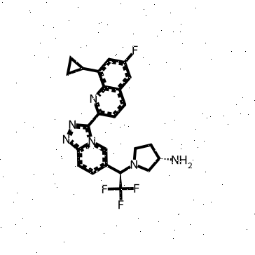 N[C@H]1CCN([C@H](c2ccc3nnc(-c4ccc5cc(F)cc(C6CC6)c5n4)n3c2)C(F)(F)F)C1